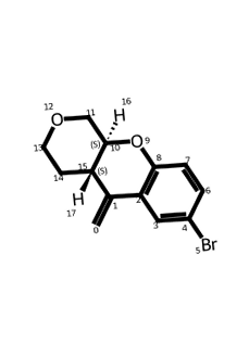 C=C1c2cc(Br)ccc2O[C@@H]2COCC[C@@H]12